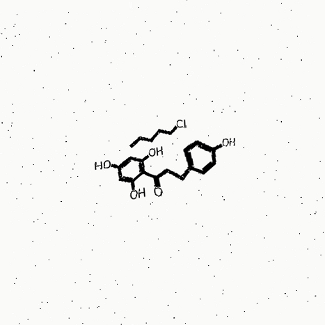 CCCCCCl.O=C(CCc1ccc(O)cc1)c1c(O)cc(O)cc1O